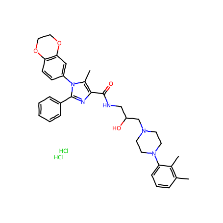 Cc1cccc(N2CCN(CC(O)CNC(=O)c3nc(-c4ccccc4)n(-c4ccc5c(c4)OCCO5)c3C)CC2)c1C.Cl.Cl